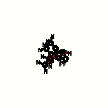 N#Cc1cc(C#N)cc(-c2ccc3c(c2)c2cc(-c4cc(C#N)cc(C#N)c4)ccc2n3-c2ccc(-c3c(C(F)(F)F)cccc3C(F)(F)F)c(-c3cc(C#N)ccc3-n3c4ccc(-c5cc(C#N)cc(C#N)c5)cc4c4cc(-c5cc(C#N)cc(C#N)c5)ccc43)c2)c1